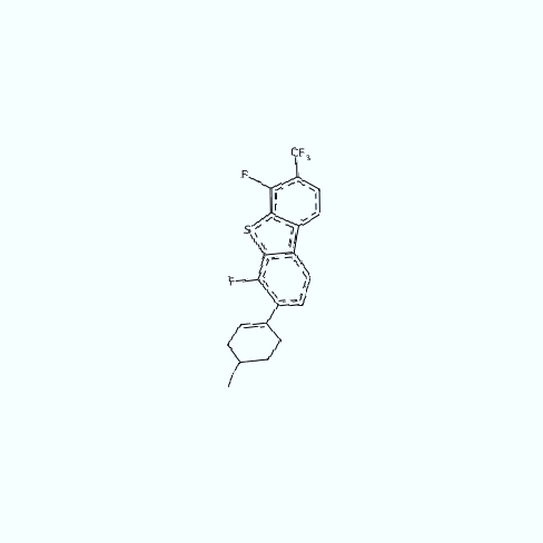 CC1CC=C(c2ccc3c(sc4c(F)c(C(F)(F)F)ccc43)c2F)CC1